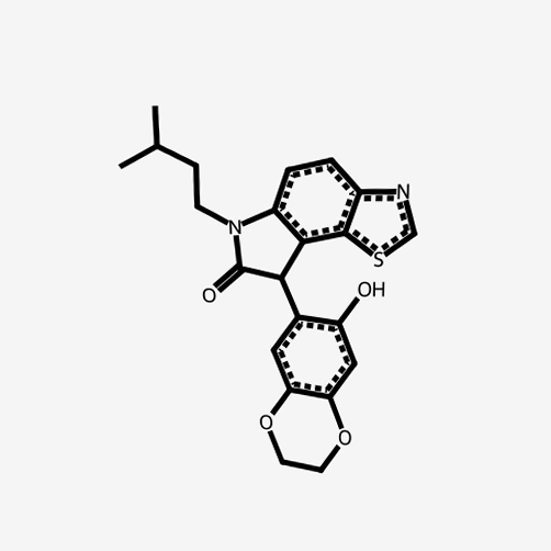 CC(C)CCN1C(=O)C(c2cc3c(cc2O)OCCO3)c2c1ccc1ncsc21